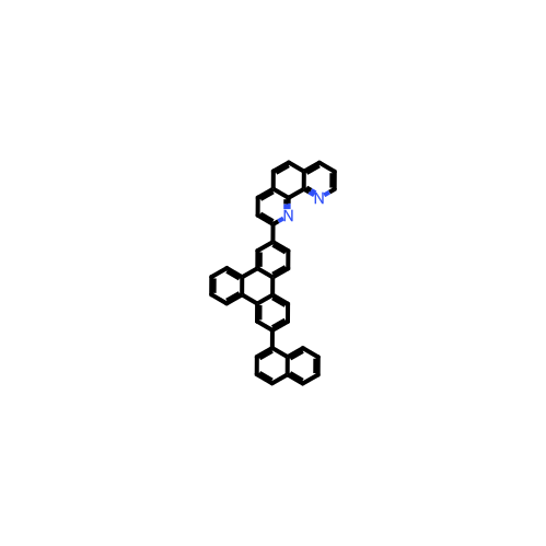 c1ccc2c(-c3ccc4c5ccc(-c6ccc7ccc8cccnc8c7n6)cc5c5ccccc5c4c3)cccc2c1